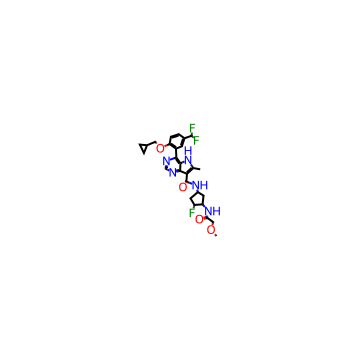 COCC(=O)NC1CC(NC(=O)c2c(C)[nH]c3c(-c4cc(C(F)F)ccc4OCC4CC4)ncnc23)CC1F